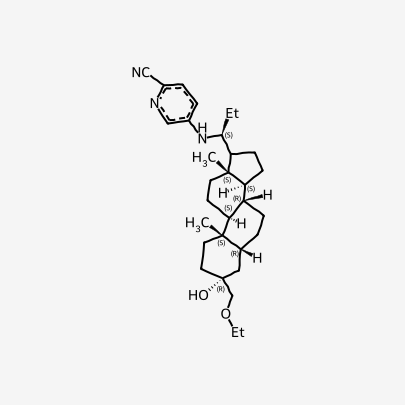 CCOC[C@@]1(O)CC[C@@]2(C)[C@H](CC[C@@H]3[C@@H]2CC[C@]2(C)C([C@H](CC)Nc4ccc(C#N)nc4)CC[C@@H]32)C1